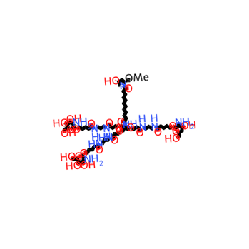 COC[C@@H]1C[C@@H](O)CN1C(=O)CCCCCCCCCCC(=O)NC(COCCC(=O)NCCCNC(=O)CCCCOC1OC(CO)CC(O)C1N)(COCCC(=O)NCCCNC(=O)CCCCOC1OC(CO)C(O)C(O)C1N)COCCC(=O)NCCCNC(=O)CCCCOC1OC(CO)C(O)C(O)C1N